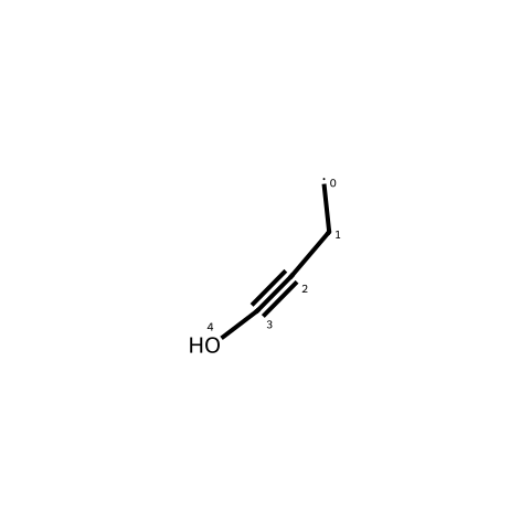 [CH2]CC#CO